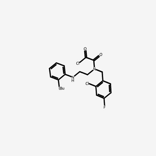 CC(C)(C)c1ccccc1NCCN(Cc1ccc(F)cc1Cl)C(=O)C(=O)Cl